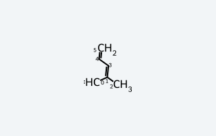 [CH]/C(C)=C\C=C